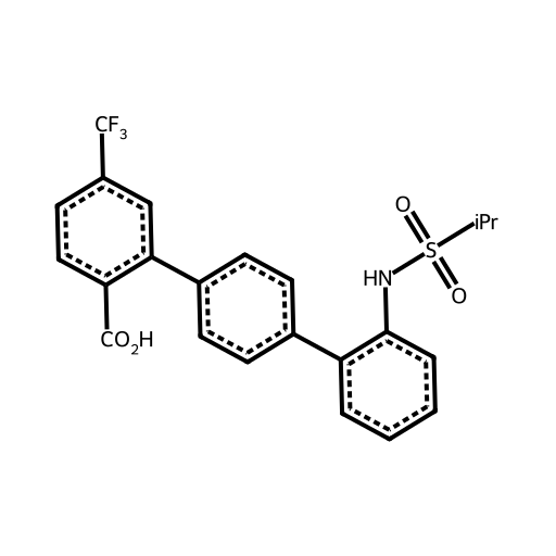 CC(C)S(=O)(=O)Nc1ccccc1-c1ccc(-c2cc(C(F)(F)F)ccc2C(=O)O)cc1